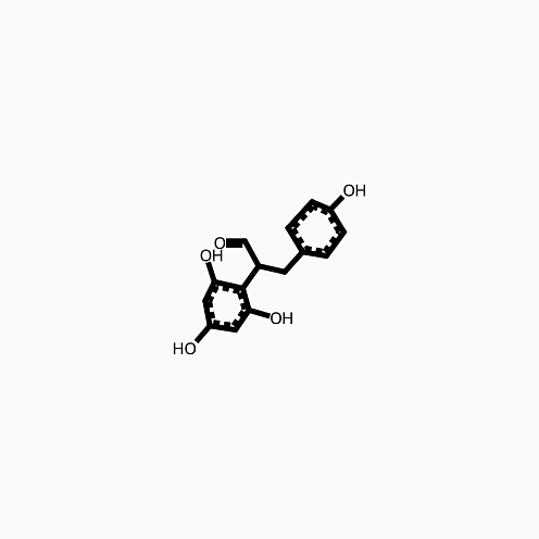 O=CC(Cc1ccc(O)cc1)c1c(O)cc(O)cc1O